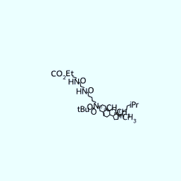 CCOC(=O)CCNC(=O)CCNC(=O)CCCCN(C(=O)OC(C)(C)C)[C@H]1CC[C@@]2(C)C(=CCC3C2CC[C@@]2(C)C3CC[C@@H]2[C@H](C)CCCC(C)C)C1